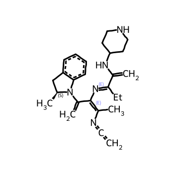 C=C=N/C(C)=C(/N=C(\CC)C(=C)NC1CCNCC1)C(=C)N1c2ccccc2C[C@@H]1C